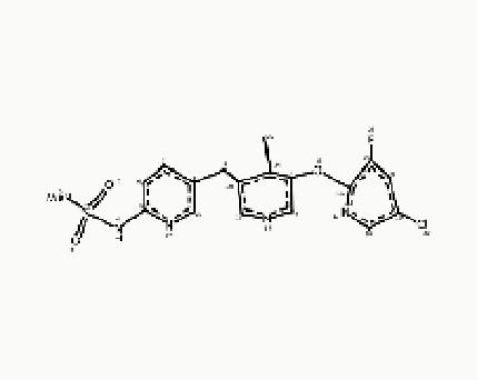 CNS(=O)(=O)Nc1ccc(Cc2cncc(Oc3ncc(Cl)cc3F)c2C)cn1